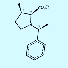 CCOC(=O)[C@@H]1[C@H](C)CCN1[C@@H](C)c1ccccc1